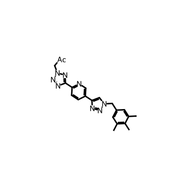 CC(=O)Cn1nnc(-c2ccc(-c3cn(Cc4cc(C)c(C)c(C)c4)nn3)cn2)n1